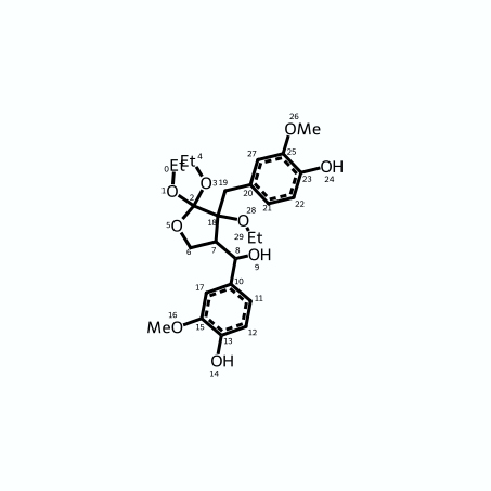 CCOC1(OCC)OCC(C(O)c2ccc(O)c(OC)c2)C1(Cc1ccc(O)c(OC)c1)OCC